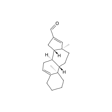 C[C@@]12C=C(C=O)C[C@H]1[C@@H]1CC=C3CCCC[C@]3(C)[C@H]1CC2